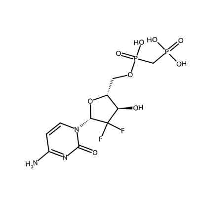 Nc1ccn([C@@H]2O[C@H](COP(=O)(O)CP(=O)(O)O)[C@@H](O)C2(F)F)c(=O)n1